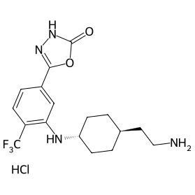 Cl.NCC[C@H]1CC[C@H](Nc2cc(-c3n[nH]c(=O)o3)ccc2C(F)(F)F)CC1